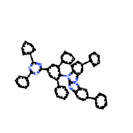 c1ccc(-c2ccc3nc4n(-c5c(-c6ccccc6)cc(-c6nc(-c7ccccc7)nc(-c7ccccc7)n6)cc5-c5ccccc5)c5ccc(-c6ccccc6)cc5n4c3c2)cc1